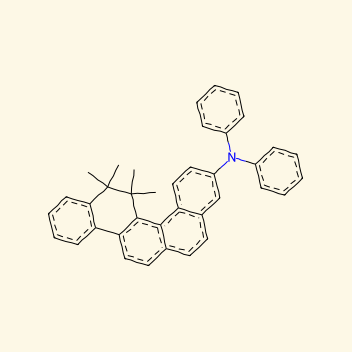 CC1(C)c2ccccc2-c2ccc3ccc4cc(N(c5ccccc5)c5ccccc5)ccc4c3c2C1(C)C